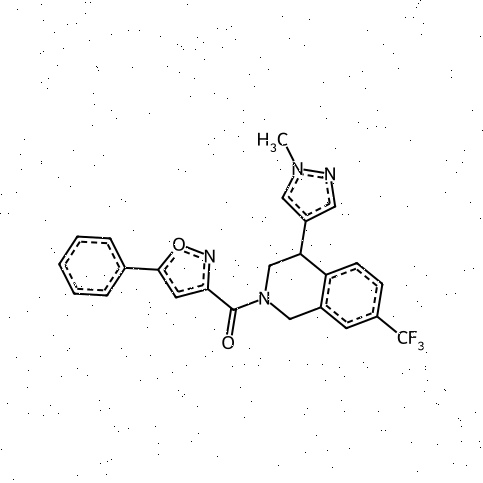 Cn1cc(C2CN(C(=O)c3cc(-c4ccccc4)on3)Cc3cc(C(F)(F)F)ccc32)cn1